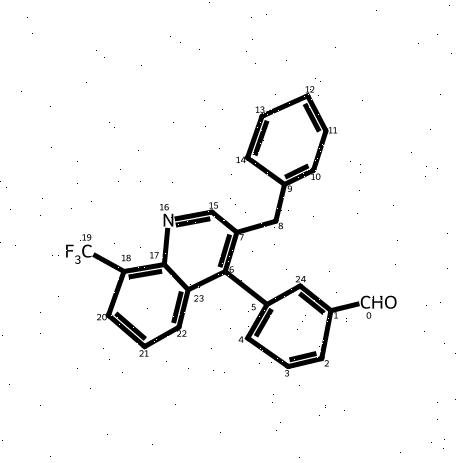 O=Cc1cccc(-c2c(Cc3ccccc3)cnc3c(C(F)(F)F)cccc23)c1